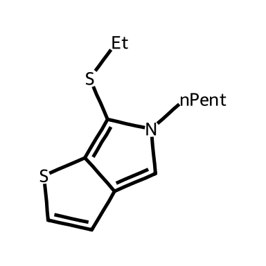 CCCCCn1cc2ccsc2c1SCC